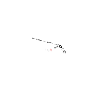 C[C@H](c1ccc(C(=O)Nc2ccncc2)cc1)N(CCOCCOCCOCCOCCOCCOCCO)C(=O)OC(C)(C)C.O.[Li+].[OH-]